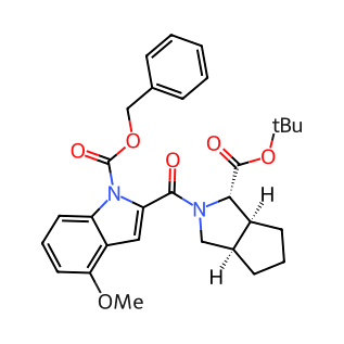 COc1cccc2c1cc(C(=O)N1C[C@@H]3CCC[C@@H]3[C@H]1C(=O)OC(C)(C)C)n2C(=O)OCc1ccccc1